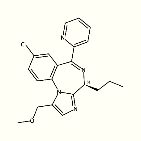 CCC[C@@H]1N=C(c2ccccn2)c2cc(Cl)ccc2-n2c(COC)cnc21